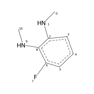 CNc1cccc(F)c1NC